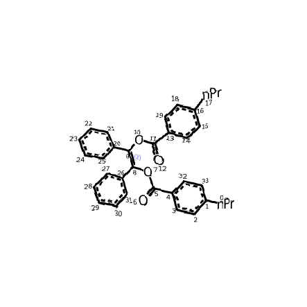 CCCc1ccc(C(=O)O/C(=C(\OC(=O)c2ccc(CCC)cc2)c2ccccc2)c2ccccc2)cc1